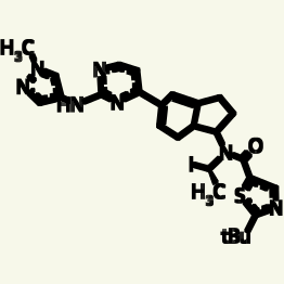 C[C@@H](I)N(C(=O)c1cnc(C(C)(C)C)s1)C1CCC2=CC(c3ccnc(Nc4cnn(C)c4)n3)=CCC21